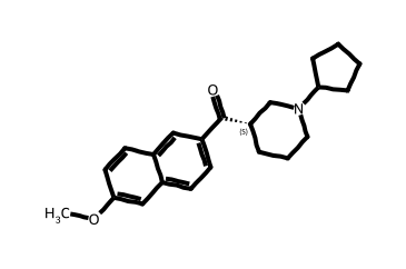 COc1ccc2cc(C(=O)[C@H]3CCCN(C4CCCC4)C3)ccc2c1